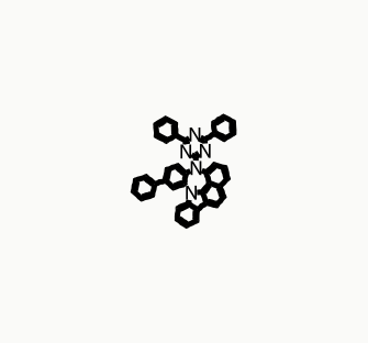 c1ccc(-c2ccc3c(c2)n2c4ccccc4c4ccc5cccc(c5c42)n3-c2nc(-c3ccccc3)nc(-c3ccccc3)n2)cc1